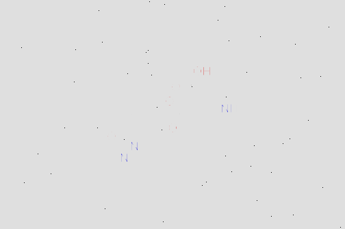 CC1=CC(C(=O)Oc2cccc(-c3nnco3)c2)=C(C(=O)O)C(C)N1